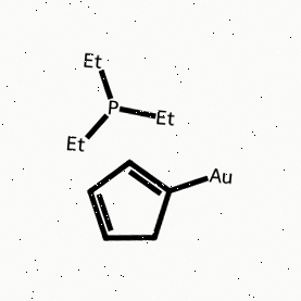 CCP(CC)CC.[Au][C]1=CC=CC1